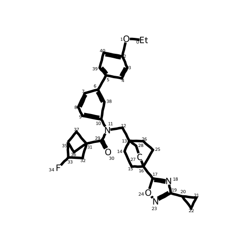 CCOc1ccc(-c2cccc(N(CC34CCC(c5nc(C6CC6)no5)(CC3)CC4)C(=O)C34CC(F)C(C3)C4)c2)cc1